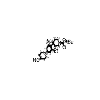 CCc1cc(N2CCC(C#N)CC2)cc(F)c1C1(C(C)=O)CCN(C(=O)OC(C)(C)C)CC1